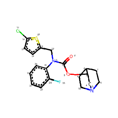 O=C(OC1CN2CCC1CC2)N(Cc1ccc(Cl)s1)c1ccccc1F